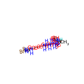 CC[C@]1(O)C(=O)OCc2c1cc1n(c2=O)Cc2c-1nc1cc(F)c(C)c3c1c2[C@H](NC(=O)C1COCCN1C(=O)CNC(=O)CNC(=O)CNC(=O)CNC(=O)CNC(=O)CCOCCOCCOCCOCCNC(=O)c1ccc2nc(CBr)c(CBr)nc2c1)CC3